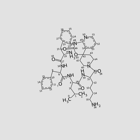 CC(C)CC(NC(=O)C(Cc1ccccc1)NC(=O)C(N)Cc1ccccc1)C(=O)NC(CCCCN)C(=O)N1CCC2(CC1)OC(=O)Nc1ncccc12